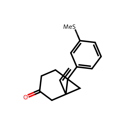 C=CC12CC(=O)CCC1(c1cccc(SC)c1)C2